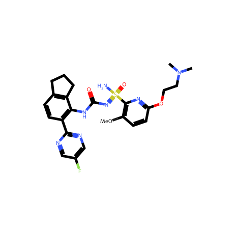 COc1ccc(OCCN(C)C)nc1S(N)(=O)=NC(=O)Nc1c(-c2ncc(F)cn2)ccc2c1CCC2